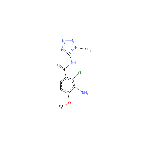 Cn1nnnc1NC(=O)c1ccc(OC(F)(F)F)c(N)c1Cl